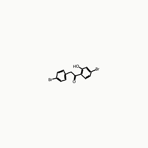 O=C(Cc1ccc(Br)cc1)c1ccc(Br)cc1O